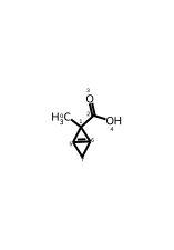 CC1(C(=O)O)C2=C1C2